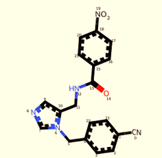 N#Cc1ccc(Cn2cncc2CNC(=O)c2ccc([N+](=O)[O-])cc2)cc1